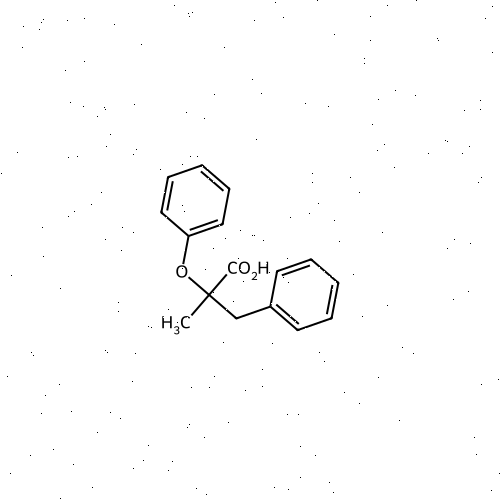 CC(Cc1ccccc1)(Oc1ccccc1)C(=O)O